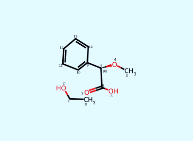 CCO.CO[C@@H](C(=O)O)c1ccccc1